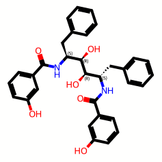 O=C(N[C@@H](Cc1ccccc1)[C@@H](O)[C@H](O)[C@H](Cc1ccccc1)NC(=O)c1cccc(O)c1)c1cccc(O)c1